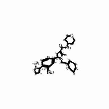 Cc1c(C(=O)NC2CCOCC2)cc(-c2ccc(-c3ccnn3C(C)C)c(C(C)(C)C)c2)n1CC1CCCCC1